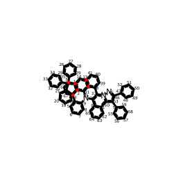 c1ccc(-c2ccccc2N(c2cccc3c2-c2ccccc2C3(c2ccccc2)c2ccccc2)c2c(-c3ccccc3)n3nc(-c4ccccc4)c(-c4ccccc4)c3c3ccccc23)cc1